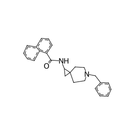 O=C(NC1CC12CCN(Cc1ccccc1)CC2)c1cccc2ccccc12